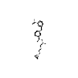 C=C(C)c1cccc(Cc2cccc(C(C)CC(C)CCCCN3CC3)c2)c1